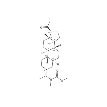 [CH2]C([C@@H]1CC[C@@]2(C)[C@@H](CC[C@@H]3[C@@H]2CC[C@]2(C)[C@@H](C(C)=O)CC[C@@H]32)C1)N(C)C(=O)OC